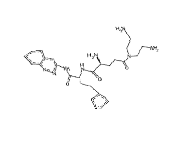 NCCN(CCN)C(=O)CC[C@H](N)C(=O)N[C@H](CCc1ccccc1)C(=O)Nc1cc2ccccc2nn1